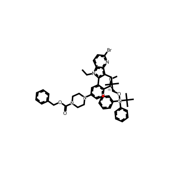 CCn1c(-c2cc(N3CCN(C(=O)OCc4ccccc4)CC3)cnc2[C@H](C)OC)c(CC(C)(C)CO[Si](c2ccccc2)(c2ccccc2)C(C)(C)C)c2nc(Br)ccc21